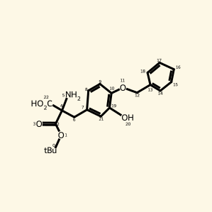 CC(C)(C)OC(=O)C(N)(Cc1ccc(OCc2ccccc2)c(O)c1)C(=O)O